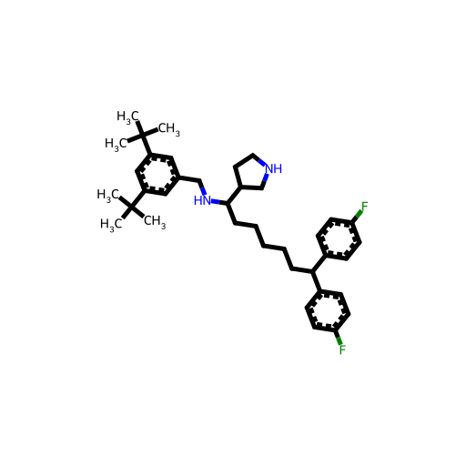 CC(C)(C)c1cc(CNC(CCCCCC(c2ccc(F)cc2)c2ccc(F)cc2)C2CCNC2)cc(C(C)(C)C)c1